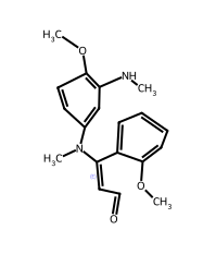 CNc1cc(N(C)/C(=C/C=O)c2ccccc2OC)ccc1OC